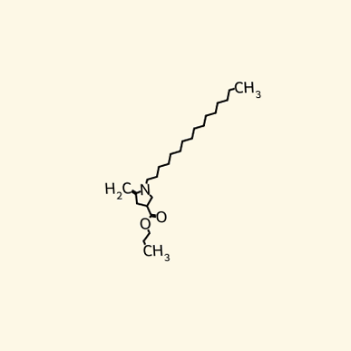 C=C1CC(C(=O)OCCC)CN1CCCCCCCCCCCCCCCC